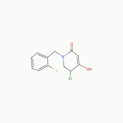 O=C1C=C(O)C(Cl)CN1Cc1ccccc1F